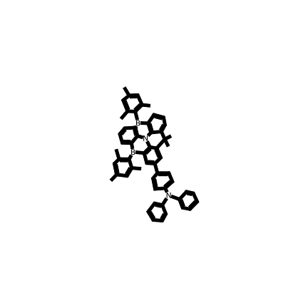 Cc1cc(C)c(B2c3cccc4c3N3c5c2cccc5C(C)(C)c2cc(-c5ccc(N(c6ccccc6)c6ccccc6)cc5)cc(c23)B4c2c(C)cc(C)cc2C)c(C)c1